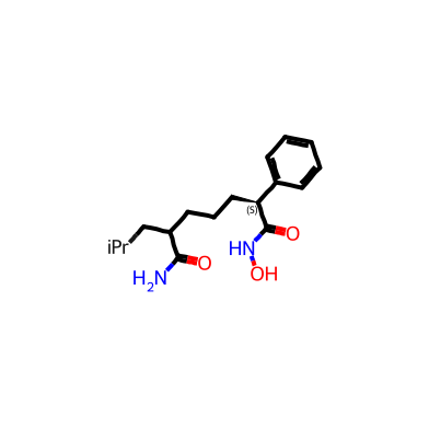 CC(C)CC(CCC[C@H](C(=O)NO)c1ccccc1)C(N)=O